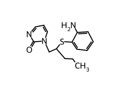 CCCC(Cn1cccnc1=O)Sc1ccccc1N